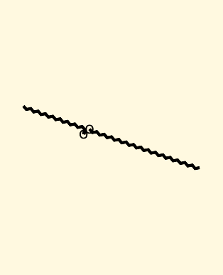 CCCCCCCCCCCCCCCCCCCCCCCCCCCCCCOC(=O)CCCCCCCCCCCCCCCCC